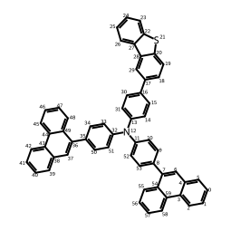 c1ccc2c(c1)cc(-c1ccc(N(c3ccc(-c4ccc5sc6ccccc6c5c4)cc3)c3ccc(-c4cc5ccccc5c5ccccc45)cc3)cc1)c1ccccc12